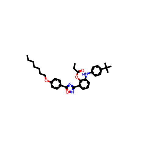 CCCCCCCOc1ccc(-c2nc(-c3cccc(Nc4ccc(C(C)(C)C)cc4)c3OC(=O)CC)no2)cc1